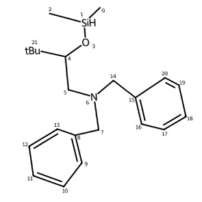 C[SiH](C)OC(CN(Cc1ccccc1)Cc1ccccc1)C(C)(C)C